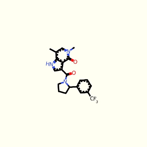 Cc1cn(C)c(=O)c2c(C(=O)N3CCCC3c3cccc(C(F)(F)F)c3)c[nH]c12